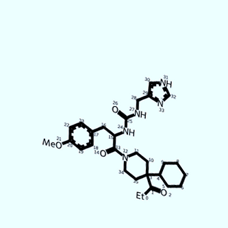 CCC(=O)C1(C2CCCCC2)CCN(C(=O)C(Cc2ccc(OC)cc2)NC(=O)NCc2c[nH]cn2)CC1